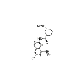 CC(=O)N[C@@H]1CCC[C@H](C(=O)Nc2ncc3cc(Cl)nc(NC(C)C)c3n2)C1